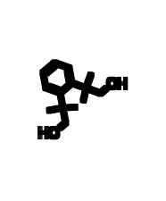 CC(C)(CO)c1ccccc1C(C)(C)CO